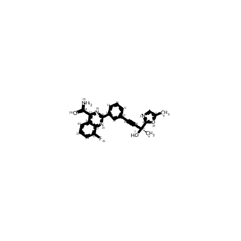 Cc1cnc([C@@](C)(O)C#Cc2cccc(-c3nc(C(N)=O)c4cccc(F)c4n3)c2)o1